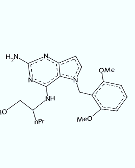 CCCC(CO)Nc1nc(N)nc2ccn(Cc3c(OC)cccc3OC)c12